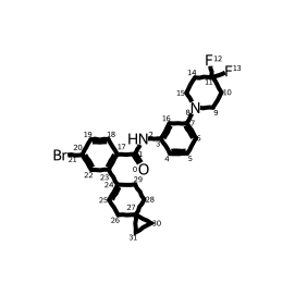 O=C(Nc1cccc(N2CCC(F)(F)CC2)c1)c1ccc(Br)cc1C1=CCC2(CC1)CC2